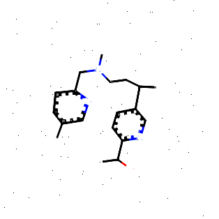 CC(C)c1ccc(CN(C)CCC(C)c2ccc(C(O)C(F)(F)F)nc2)nc1